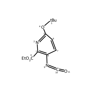 CCOC(=O)c1nc(OC(C)(C)C)ccc1N=C=O